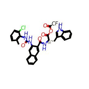 Cc1cccc(Cl)c1NC(=O)Nc1cc2ccccc2cc1C(=O)N[C@@H](Cc1c[nH]c2ccccc12)C(=O)OC(=O)C(F)(F)F